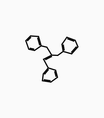 C(=C(Cc1ccccc1)Cc1ccccc1)c1ccccc1